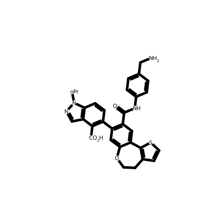 CCCn1ncc2c(C(=O)O)c(-c3cc4c(cc3C(=O)Nc3ccc(CN)cc3)-c3sccc3CCO4)ccc21